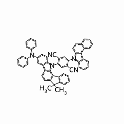 CC1(C)c2ccccc2-c2c1ccc1c3cc(N(c4ccccc4)c4ccccc4)ccc3n(-c3cc(C#N)c(-n4c5ccccc5c5c6ccccc6ccc54)cc3C#N)c21